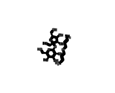 N/C=C/COC/C=C/N.OC[C@H]1O[C@@](CO)(O[C@H]2O[C@H](CO)[C@@H](O)[C@H](O)[C@H]2O)[C@@H](O)[C@@H]1O